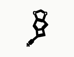 N#CC1=Cc2cc3c(cc21)OCO3